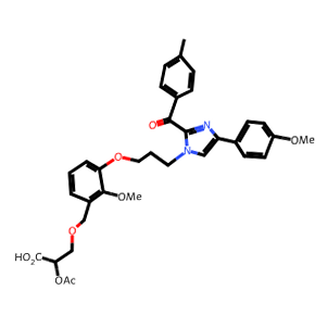 COc1ccc(-c2cn(CCCOc3cccc(COCC(OC(C)=O)C(=O)O)c3OC)c(C(=O)c3ccc(C)cc3)n2)cc1